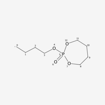 [CH2]CCCOP1(=O)OCCCCO1